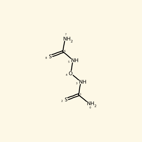 NC(=S)NONC(N)=S